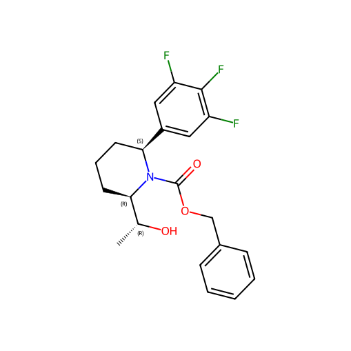 C[C@@H](O)[C@H]1CCC[C@@H](c2cc(F)c(F)c(F)c2)N1C(=O)OCc1ccccc1